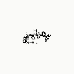 Cc1cc(-c2cccc(-c3csc(NC(=O)CNC(=O)c4ccc5c(c4)[C@](C)(CN)CCC5)n3)c2)cc(C)n1